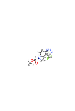 CC(C)(C)OC(=O)Cn1ccc2c(C(F)(F)F)c(N)ccc21